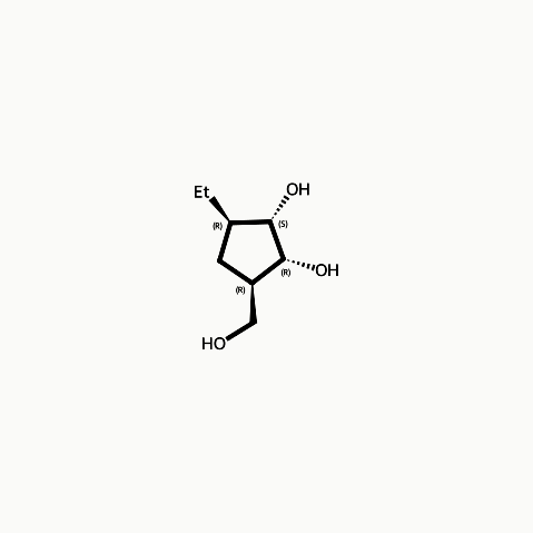 CC[C@@H]1C[C@H](CO)[C@@H](O)[C@H]1O